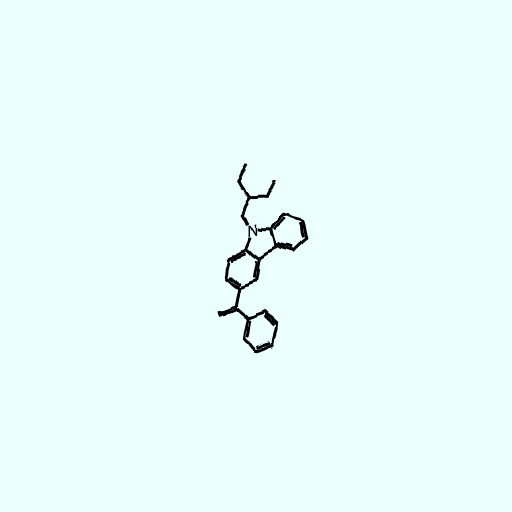 C=C(c1ccccc1)c1ccc2c(c1)c1ccccc1n2CC(CC)CC